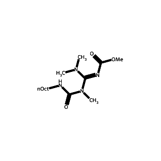 CCCCCCCCNC(=O)N(C)C(=NC(=O)OC)N(C)C